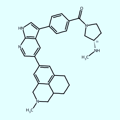 CN[C@H]1CCN(C(=O)c2ccc(-c3c[nH]c4ncc(-c5cc6c7c(c5)CN(C)CC7CCC6)cc34)cc2)C1